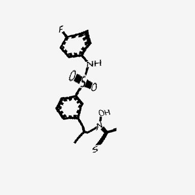 CC(=S)N(O)C(C)c1cccc(S(=O)(=O)Nc2ccc(F)cc2)c1